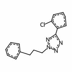 Clc1ccccc1-c1nnn(CCCc2ccccc2)n1